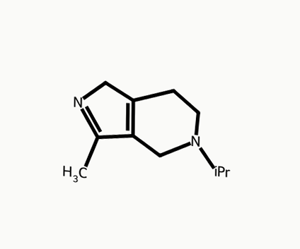 CC1=NCC2=C1CN(C(C)C)CC2